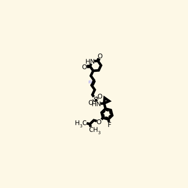 CC(C)COc1cc(C2(NS(=O)(=O)CC/C=C/CC3CCC(=O)NC3=O)CC2)ccc1F